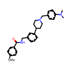 CSc1ccc(C(=O)NCc2cccc(C3CCN(Cc4ccc(N(C)C)cc4)CC3)c2)cc1